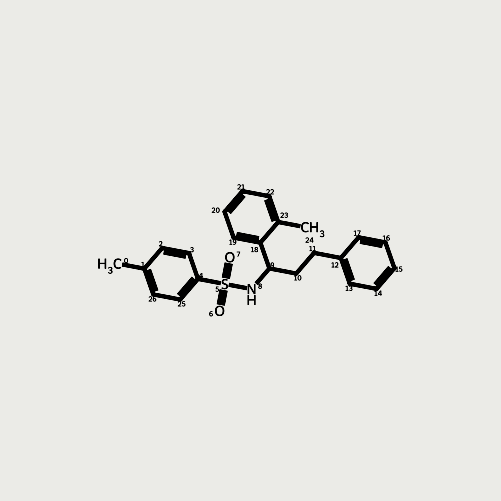 Cc1ccc(S(=O)(=O)NC(CCc2ccccc2)c2ccccc2C)cc1